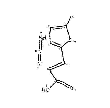 Cc1ccc(C=CC(=O)O)s1.[N-]=[N+]=N